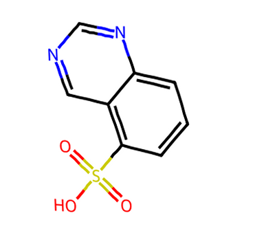 O=S(=O)(O)c1cccc2ncncc12